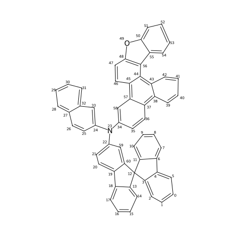 c1ccc2c(c1)-c1ccccc1C21c2ccccc2-c2ccc(N(c3ccc4ccccc4c3)c3ccc4c5ccccc5c5c(ccc6oc7ccccc7c65)c4c3)cc21